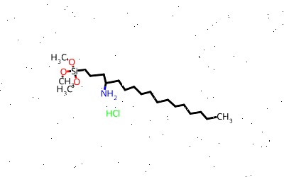 CCCCCCCCCCCCCC(N)CCC[Si](OC)(OC)OC.Cl